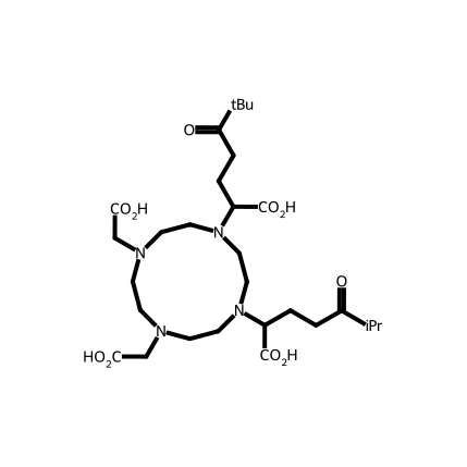 CC(C)C(=O)CCC(C(=O)O)N1CCN(CC(=O)O)CCN(CC(=O)O)CCN(C(CCC(=O)C(C)(C)C)C(=O)O)CC1